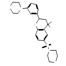 CC1(C)CC(c2cccc(N3CCOCC3)c2)Nc2ccc(S(=O)(=O)N3CCOCC3)cc21